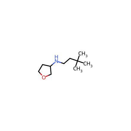 CC(C)(C)CCNC1CCOC1